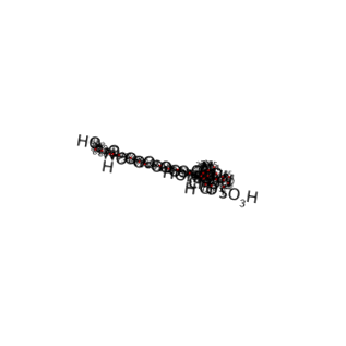 CC1(C)C=C(CS(=O)(=O)O)c2cc3c(c4c2N1CCC4)Oc1c(cc2c4c1CCCN4C(C)(C)C=C2CS(=O)(=O)O)C31OC(=O)c2c(Cl)c(Cl)c(SCC(=O)NCCOCCOCCOCCOCCOCCOCCOCCOCCC(=O)NCCc3ccc(O)cc3)c(Cl)c21